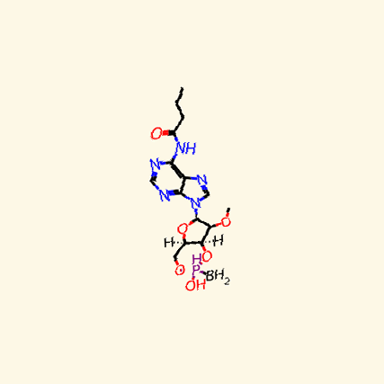 B[PH]1(O)OC[C@H]2O[C@@H](n3cnc4c(NC(=O)CCC)ncnc43)C(OC)[C@H]2O1